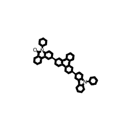 O=c1c2ccccc2c2cc(-c3ccc4c5ccc(-c6ccc7c(c6)c6ccccc6n7-c6ccccc6)cc5c5ccccc5c4c3)ccc2n1-c1ccccc1